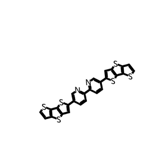 c1cc2sc3cc(-c4ccc(-c5ccc(-c6cc7sc8ccsc8c7s6)cn5)nc4)sc3c2s1